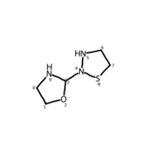 C1CO[C](N2NCCS2)N1